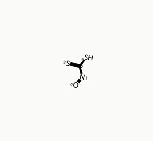 O=NC(=S)S